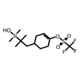 CC(C)(CC1CC=C(OS(=O)(=O)C(F)(F)F)CC1)[Si](C)(C)O